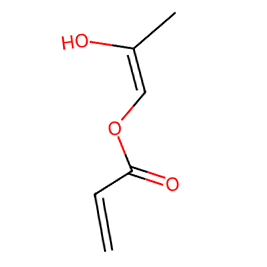 C=CC(=O)OC=C(C)O